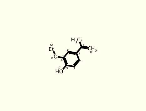 C=C(C)c1ccc(O)c(OCC)c1